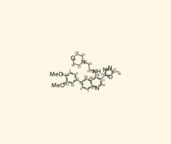 COc1ccc(-c2ccc3ncc(-c4nnc(C)o4)c(NCCN4CCOCC4)c3c2)cc1OC